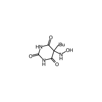 CCC(C)C1(NO)C(=O)NC(=O)NC1=O